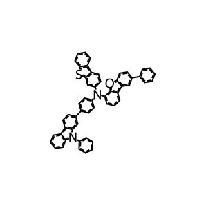 c1ccc(-c2ccc3oc4c(N(c5ccc(-c6ccc7c8ccccc8n(-c8ccccc8)c7c6)cc5)c5ccc6c(c5)sc5ccccc56)cccc4c3c2)cc1